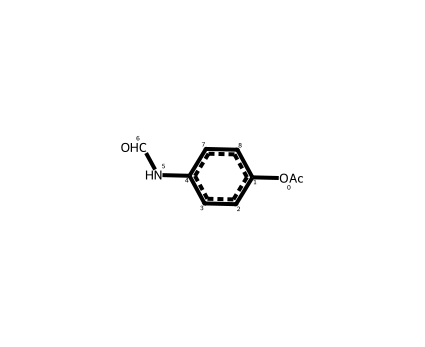 CC(=O)Oc1ccc(NC=O)cc1